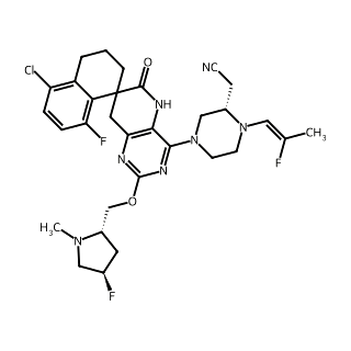 CC(F)=CN1CCN(c2nc(OC[C@@H]3C[C@@H](F)CN3C)nc3c2NC(=O)C2(CCCc4c(Cl)ccc(F)c42)C3)C[C@@H]1CC#N